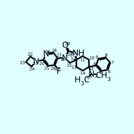 CN(C)C1(c2ccccc2)CCC2(CC1)CN(c1cnc(N3CCC3)cc1F)C(=O)N2